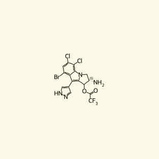 N[C@H]1Cn2c(c(-c3cn[nH]c3)c3c(Br)cc(Cl)c(Cl)c32)C1OC(=O)C(F)(F)F